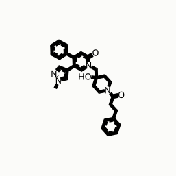 Cn1cc(-c2cn(CC3(O)CCN(C(=O)CCc4ccccc4)CC3)c(=O)cc2-c2ccccc2)cn1